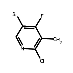 Cc1c(Cl)ncc(Br)c1F